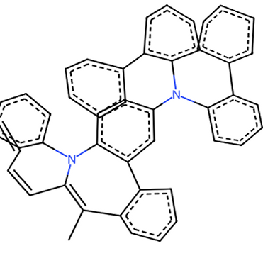 C=C/C=C\C1=C(C)c2ccccc2-c2cc(N(c3ccccc3-c3ccccc3)c3ccccc3-c3ccccc3)ccc2N1c1ccccc1